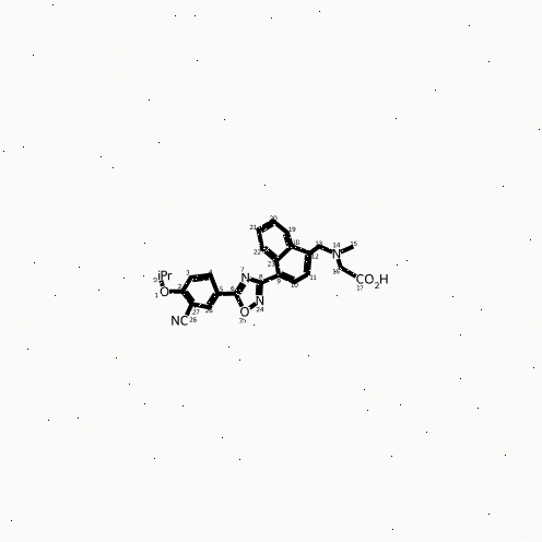 CC(C)Oc1ccc(-c2nc(-c3ccc(CN(C)CC(=O)O)c4ccccc34)no2)cc1C#N